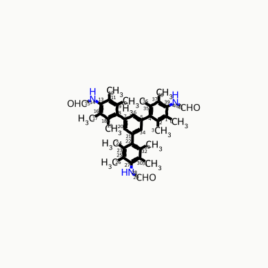 Cc1c(C)c(-c2cc(-c3c(C)c(C)c(NC=O)c(C)c3C)cc(-c3c(C)c(C)c(NC=O)c(C)c3C)c2)c(C)c(C)c1NC=O